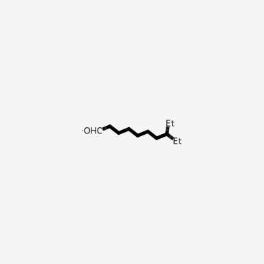 CCC(CC)CCCCCC[C]=O